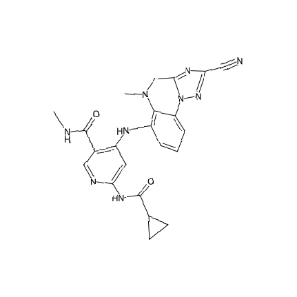 CNC(=O)c1cnc(NC(=O)C2CC2)cc1Nc1cccc2c1N(C)Cc1nc(C#N)nn1-2